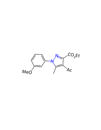 CCOC(=O)c1nn(-c2cccc(OC)c2)c(C)c1C(C)=O